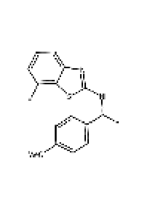 COc1ccc(C(C)Nc2nc3cccc(F)c3s2)cc1